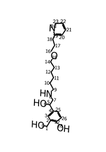 OCc1cc(C(O)CNCCCCCCOCCCc2ccccn2)ccc1O